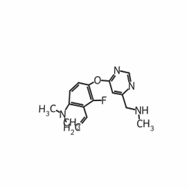 C=Cc1c(N(C)C)ccc(Oc2cc(CNC)ncn2)c1F